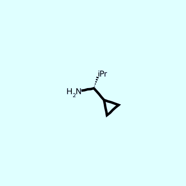 CC(C)[C@@H](N)C1CC1